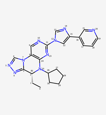 CC[C@@H]1c2nncn2-c2cnc(-n3cnc(-c4cccnc4)c3)nc2N1C1CCCC1